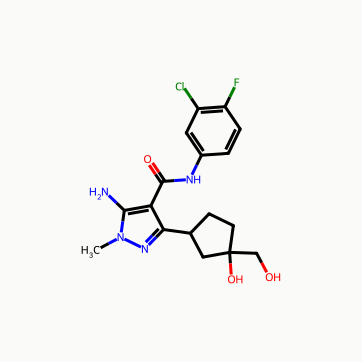 Cn1nc(C2CCC(O)(CO)C2)c(C(=O)Nc2ccc(F)c(Cl)c2)c1N